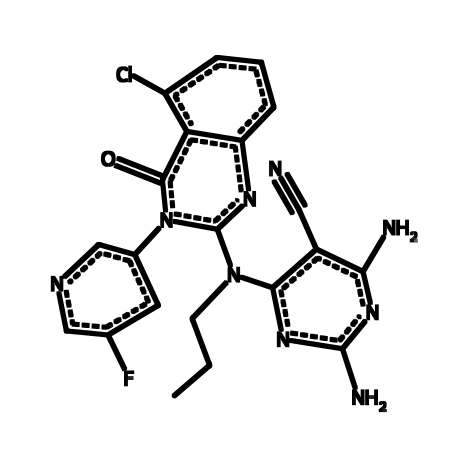 CCCN(c1nc(N)nc(N)c1C#N)c1nc2cccc(Cl)c2c(=O)n1-c1cncc(F)c1